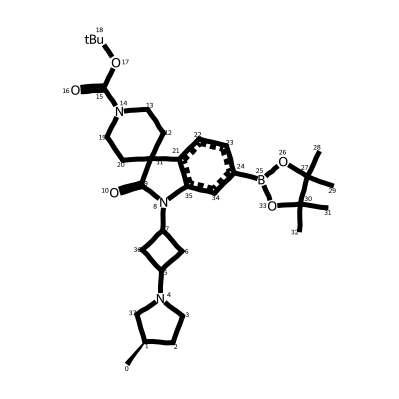 C[C@@H]1CCN(C2CC(N3C(=O)C4(CCN(C(=O)OC(C)(C)C)CC4)c4ccc(B5OC(C)(C)C(C)(C)O5)cc43)C2)C1